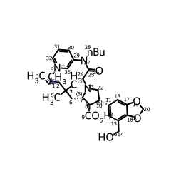 C/C=C/C(C)(C)C[C@H]1[C@H](C(=O)O)[C@@H](c2cc(CO)c3c(c2)OCO3)CN1CC(=O)N(CCCC)c1ccc[n+](C)c1